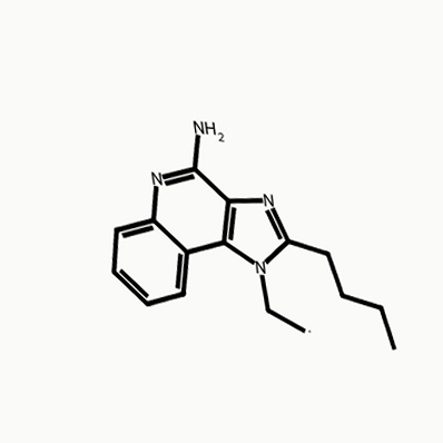 [CH2]Cn1c(CCCC)nc2c(N)nc3ccccc3c21